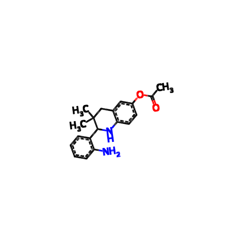 CC(=O)Oc1ccc2c(c1)CC(C)(C)C(c1ccccc1N)N2